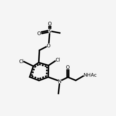 CC(=O)NCC(=O)N(C)c1ccc(Cl)c(COS(C)(=O)=O)c1Cl